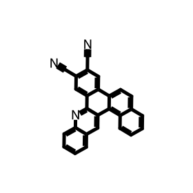 N#Cc1cc2c(cc1C#N)c1nc3ccccc3cc1c1c3ccccc3ccc21